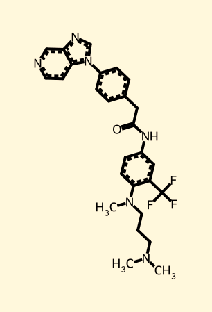 CN(C)CCCN(C)c1ccc(NC(=O)Cc2ccc(-n3cnc4cnccc43)cc2)cc1C(F)(F)F